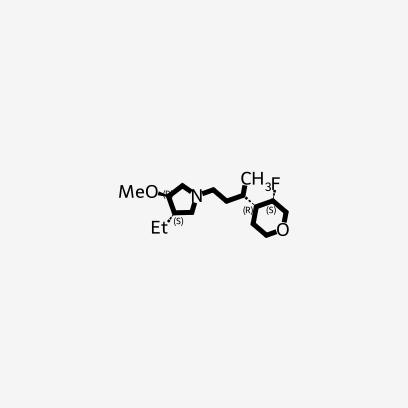 CC[C@H]1CN(CCC(C)[C@H]2CCOC[C@H]2F)C[C@@H]1OC